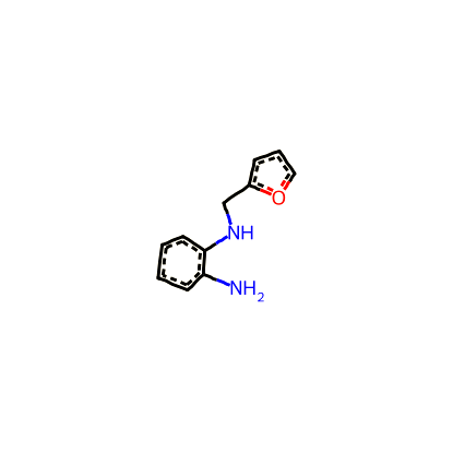 Nc1ccccc1NCc1ccco1